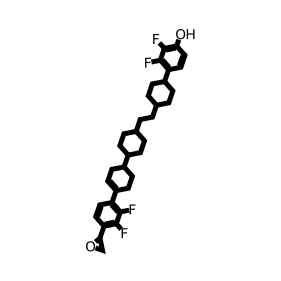 Oc1ccc(C2CCC(CCC3CCC(C4CC=C(c5ccc(C6CO6)c(F)c5F)CC4)CC3)CC2)c(F)c1F